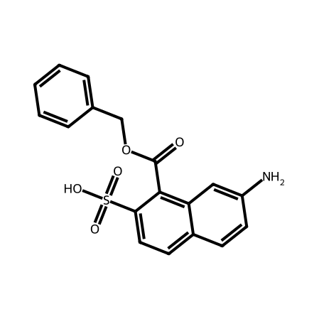 Nc1ccc2ccc(S(=O)(=O)O)c(C(=O)OCc3ccccc3)c2c1